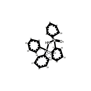 C=P(NP(=O)(c1ccccc1)c1ccccc1)(c1ccccc1)c1ccccc1